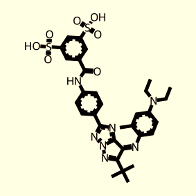 CCN(CC)c1ccc(/N=C2/C(C(C)(C)C)=Nn3nc(-c4ccc(NC(=O)c5cc(S(=O)(=O)O)cc(S(=O)(=O)O)c5)cc4)nc32)c(C)c1